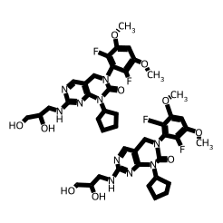 COc1cc(OC)c(F)c(N2Cc3cnc(NCC(O)CO)nc3N(C3CCCC3)C2=O)c1F.COc1cc(OC)c(F)c(N2Cc3cnc(NCC(O)CO)nc3N(C3CCCC3)C2=O)c1F